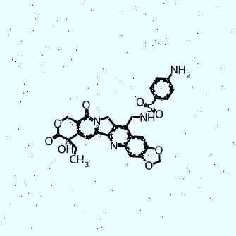 CC[C@@]1(O)C(=O)OCc2c1cc1n(c2=O)Cc2c-1nc1cc3c(cc1c2CNS(=O)(=O)c1ccc(N)cc1)OCO3